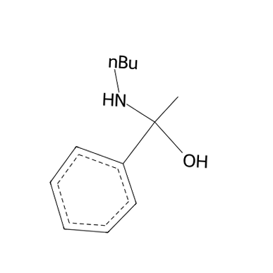 CCCCNC(C)(O)c1ccccc1